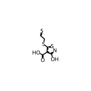 O=C(O)c1c(O)nsc1SCC=S